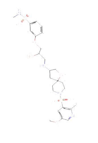 CNS(=O)(=O)c1cccc(OCC(O)CNC2COC3(CCN(S(=O)(=O)c4cc(OC)cnc4C)CC3)C2)c1